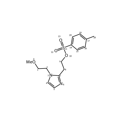 COCCn1ccnc1CCOS(=O)(=O)c1ccc(C)cc1